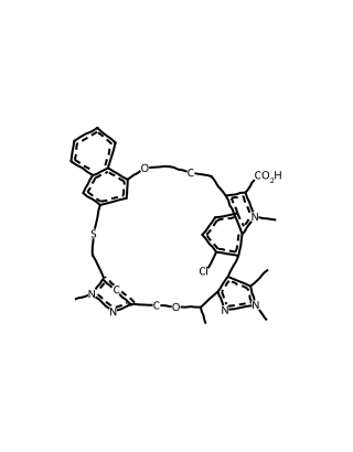 Cc1c2c(nn1C)C(C)OCc1cc(n(C)n1)CSc1cc(c3ccccc3c1)OCCCc1c(C(=O)O)n(C)c3c-2c(Cl)ccc13